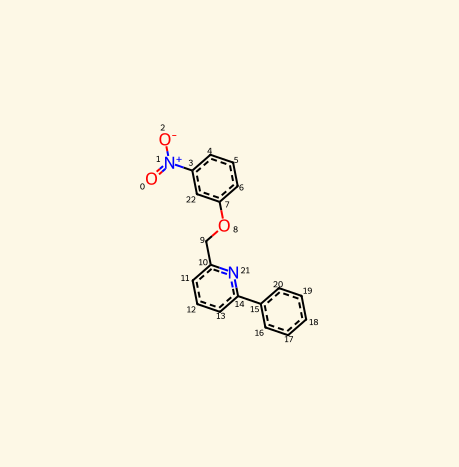 O=[N+]([O-])c1cccc(OCc2cccc(-c3ccccc3)n2)c1